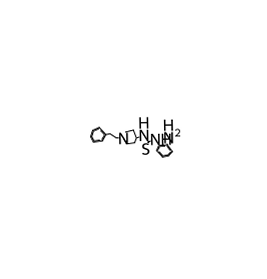 Nc1ccccc1NC(=S)NC1CCN(CCc2ccccc2)CC1